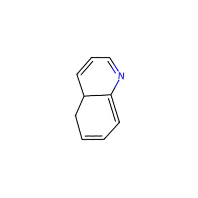 C1=CCC2C=CC=NC2=C1